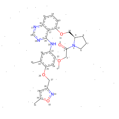 COCC(=O)N1CCC[C@@H]1COc1cccc2ncnc(Nc3ccc(OCc4cc(C)on4)c(C)c3)c12